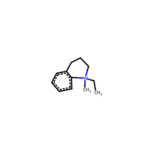 CC[N+]1(C)CCCc2ccccc21